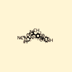 Cc1nsc(N[C@@H](CC(C)C)C(=O)NCC#N)c1-c1ccc(S(=O)(=O)N2CCNCC2)cc1